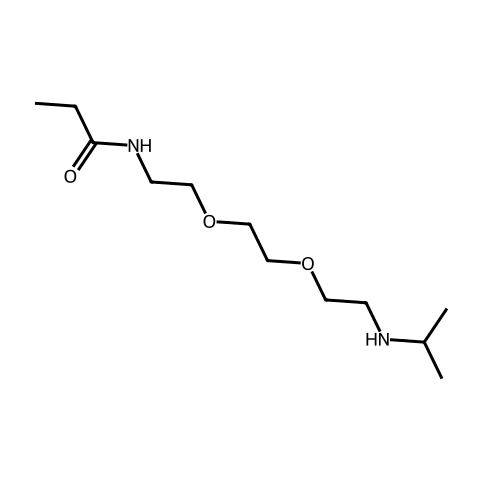 CCC(=O)NCCOCCOCCNC(C)C